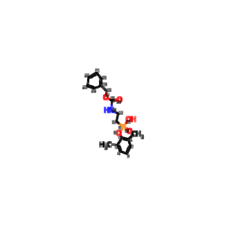 Cc1cccc(C)c1OP(=O)(O)CCNC(=O)OCc1ccccc1